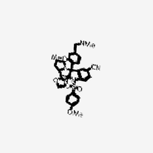 CNCc1ccc(C2(N3CCCC3c3ncco3)C(=O)N(S(=O)(=O)c3ccc(OC)cc3)c3ccc(C#N)cc32)c(OC)c1